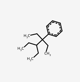 CC[C](CC)C(CC)(CC)c1ccccc1